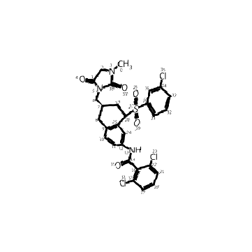 CN1CC(=O)N(C[C@@H]2Cc3ccc(NC(=O)c4c(Cl)cccc4Cl)cc3C(S(=O)(=O)c3cccc(Cl)c3)C2)C1=O